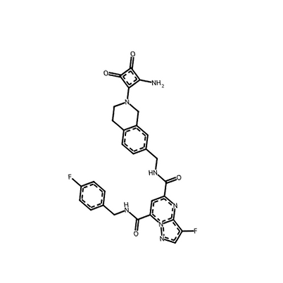 Nc1c(N2CCc3ccc(CNC(=O)c4cc(C(=O)NCc5ccc(F)cc5)n5ncc(F)c5n4)cc3C2)c(=O)c1=O